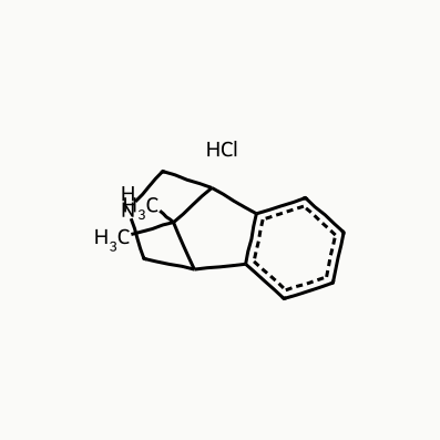 CC1(C)C2CNCC1c1ccccc12.Cl